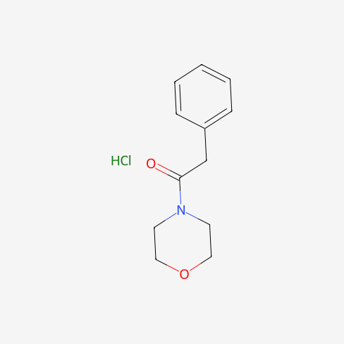 Cl.O=C(Cc1ccccc1)N1CCOCC1